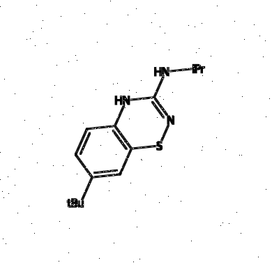 CC(C)NC1=NSc2cc(C(C)(C)C)ccc2N1